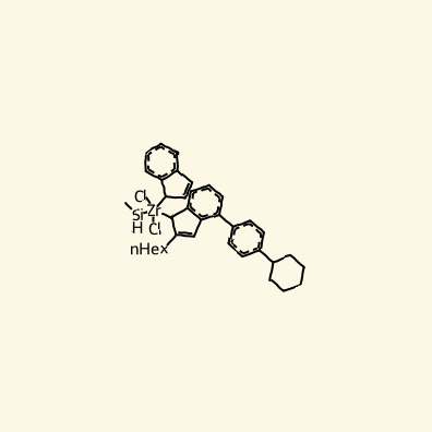 CCCCCCC1=Cc2c(-c3ccc(C4CCCCC4)cc3)cccc2[CH]1[Zr]([Cl])([Cl])([CH]1C=Cc2ccccc21)[SiH](C)C